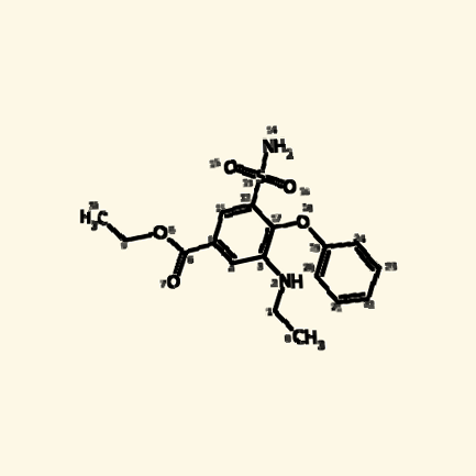 CCNc1cc(C(=O)OCC)cc(S(N)(=O)=O)c1Oc1ccccc1